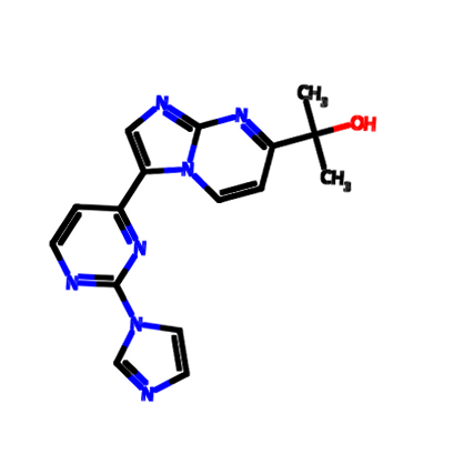 CC(C)(O)c1ccn2c(-c3ccnc(-n4ccnc4)n3)cnc2n1